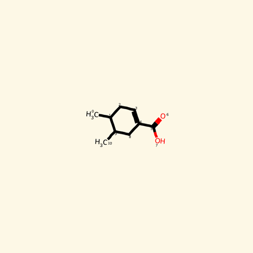 CC1CC=C(C(=O)O)CC1C